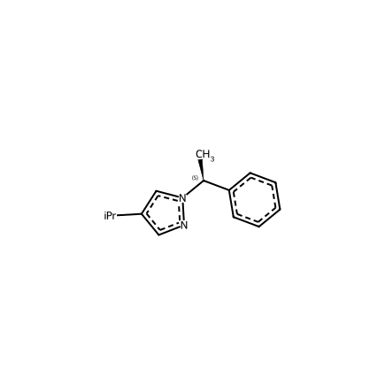 CC(C)c1cnn([C@@H](C)c2ccccc2)c1